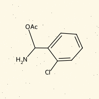 CC(=O)OC(N)c1ccccc1Cl